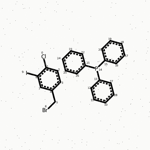 Clc1ccc(CBr)cc1I.c1ccc(P(c2ccccc2)c2ccccc2)cc1